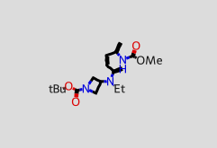 C=C(/C=C\C(=C)N(CC)C1CN(C(=O)OC(C)(C)C)C1)NC(=O)OC